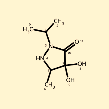 CC(C)N1NC(C)C(O)(O)C1=O